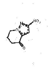 O=C1CCCn2nc([N+](=O)[O-])cc21